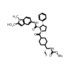 Cn1c(C(=O)O)cc2cc(NC(=O)[C@H]3[C@H](c4ccccc4)CCN3C(=O)C3CCC([C@@H](CF)NC(=O)OC(C)(C)C)CC3)ccc21